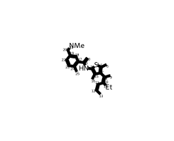 C=C(Nc1sc(C)c(/C(C)=C(\C=C/C)CC)c1C)c1cc(CNC)ccc1C